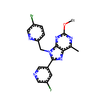 CCOc1nc(C)c2nc(-c3cncc(F)c3)n(Cc3ccc(Br)cn3)c2n1